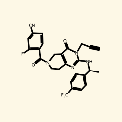 C#CCn1c(N[C@@H](C)c2ccc(C(F)(F)F)cc2)nc2c(c1=O)CN(C(=O)c1ccc(C#N)cc1F)CC2